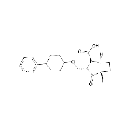 O=C1[C@H]2CC[C@H]2N(C(=O)O)[C@H]1COC1CCC(c2ccccc2)CC1